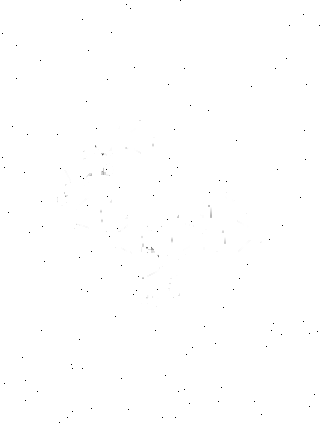 c1ccc(-c2nc3ccc4oc5ccc(-c6ccc(N(c7ccccc7)c7ccc(-c8cccc9ccccc89)cc7)cc6)cc5c4c3o2)cc1